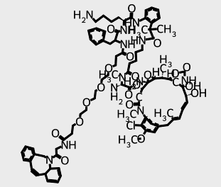 COc1cc2cc(c1Cl)N(C)C(=O)C[C@H](OC(=O)[C@H](N)N(C)C(=O)CCCCNC(=O)C(C)(C)c1ccccc1NC(=O)[C@H](CCCCN)NC(=O)C(Cc1ccccc1)NC(=O)CCOCCOCCOCCOCCC(=O)NCC(=O)N1Cc3ccccc3C#CC3C=CC=CC31)[C@]1(N)O[C@H]1[C@H](C)[C@@H]1C[C@@](O)(NC(=O)O1)[C@H](O)/C=C/C=C(\C)C2